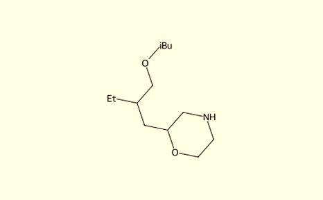 CCC(COC(C)CC)CC1CNCCO1